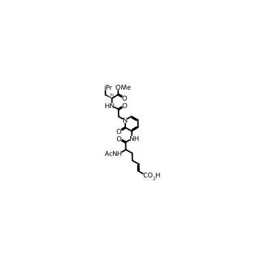 COC(=O)[C@H](CC(C)C)NC(=O)Cn1cccc(NC(=O)C(CCC=CC(=O)O)NC(C)=O)c1=O